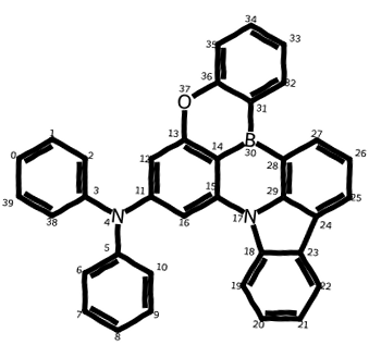 c1ccc(N(c2ccccc2)c2cc3c4c(c2)-n2c5ccccc5c5cccc(c52)B4c2ccccc2O3)cc1